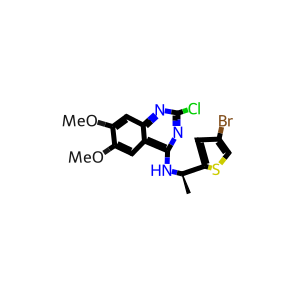 COc1cc2nc(Cl)nc(N[C@H](C)c3cc(Br)cs3)c2cc1OC